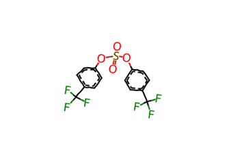 O=S(=O)(Oc1ccc(C(F)(F)F)cc1)Oc1ccc(C(F)(F)F)cc1